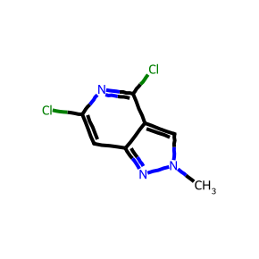 Cn1cc2c(Cl)nc(Cl)cc2n1